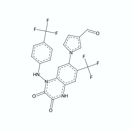 O=Cc1ccn(-c2cc3c(cc2C(F)(F)F)[nH]c(=O)c(=O)n3Nc2ccc(C(F)(F)F)cc2)c1